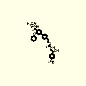 CS(=O)(=O)NC(=O)c1ccc(-c2ccc(CCOC(=O)NC[C@H](O)c3ccc([N+](=O)[O-])cc3)cc2)cc1OC1CCCCC1